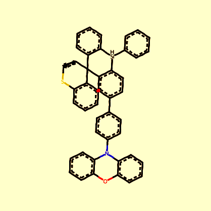 c1ccc([SiH]2c3ccccc3C3(c4ccccc4Sc4ccccc43)c3cc(-c4ccc(N5c6ccccc6Oc6ccccc65)cc4)ccc32)cc1